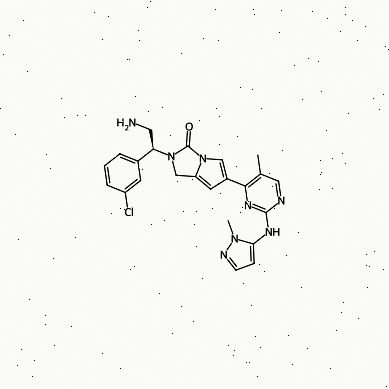 Cc1cnc(Nc2ccnn2C)nc1-c1cc2n(c1)C(=O)N([C@H](CN)c1cccc(Cl)c1)C2